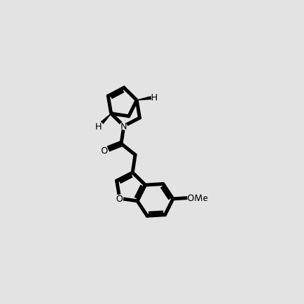 COc1ccc2occ(CC(=O)N3C[C@H]4C=C[C@@H]3C4)c2c1